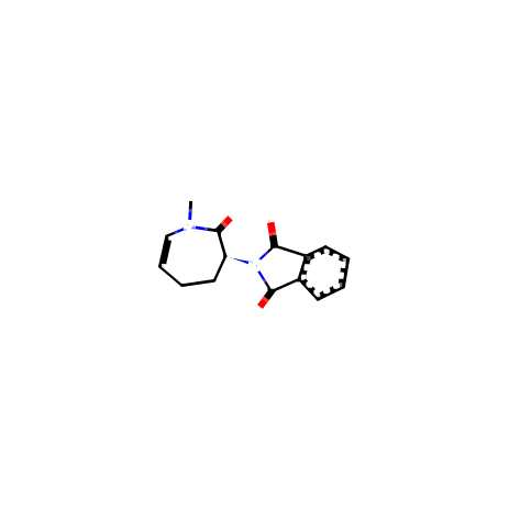 CN1C=CCC[C@H](N2C(=O)c3ccccc3C2=O)C1=O